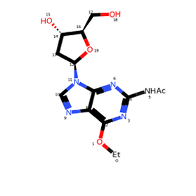 CCOc1nc(NC(C)=O)nc2c1ncn2[C@H]1C[C@H](O)[C@@H](CO)O1